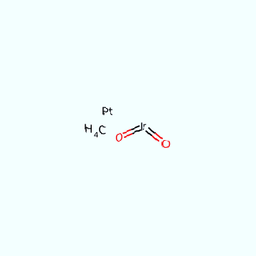 C.[O]=[Ir]=[O].[Pt]